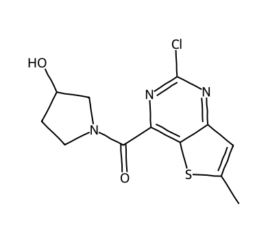 Cc1cc2nc(Cl)nc(C(=O)N3CCC(O)C3)c2s1